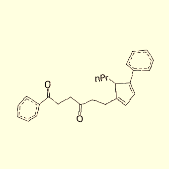 CCCC1C(CCC(=O)CCC(=O)c2ccccc2)=CC=C1c1ccccc1